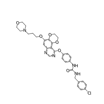 O=C(NCc1ccc(Cl)cc1)Nc1ccc(Oc2ncnc3cc(OCCCN4CCOCC4)c4c(c23)OCCO4)cc1